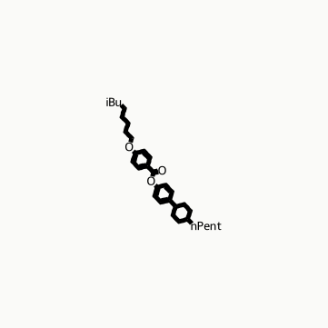 CCCCCC1CCC(c2ccc(OC(=O)c3ccc(OCCCCCC(C)CC)cc3)cc2)CC1